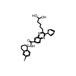 O=C(N[C@@H]1CCCc2cc(F)ccc21)c1ccc2nc(C3C=CC=CC3)c(CCCCC(O)O)nc2c1